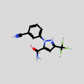 N#Cc1cccc(-n2nc(C(F)(F)F)cc2C(N)=O)c1